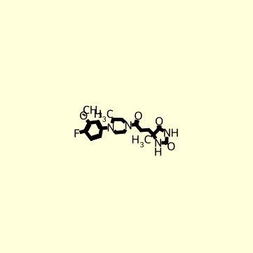 COc1cc(N2CCN(C(=O)CC[C@@]3(C)NC(=O)NC3=O)C[C@@H]2C)ccc1F